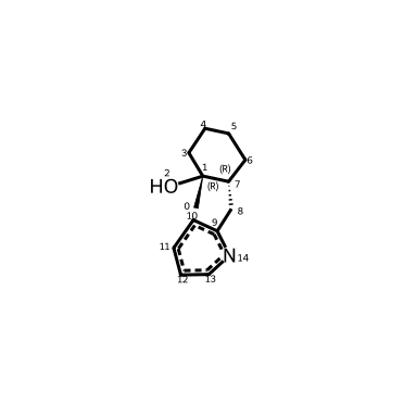 C[C@@]1(O)CCCC[C@@H]1Cc1ccccn1